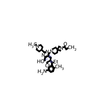 C=CC(=O)N1CC2(CCN(c3nc(C4CCN(C)CC4)nc(=C\O)/c3=C\C(C=C)=C(/CC)c3cc(N)ccc3C)CC2)C1